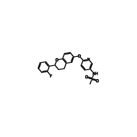 CS(=O)(=O)Nc1ccc(Oc2ccc3c(c2)CCC(c2ccccc2F)O3)nc1